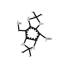 CSc1c2c(c(CO)c3c1OC(C)(C)O3)OC(C)(C)O2